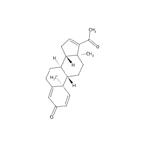 CC(=O)C1=CC[C@H]2[C@@H]3CCC4=CC(=O)C=C[C@]4(C)[C@H]3CC[C@]12C